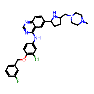 CN1CCN(CC2CCC(c3ccc4ncnc(Nc5ccc(OCc6cccc(F)c6)c(Cl)c5)c4c3)N2)CC1